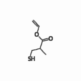 C=COC(=O)C(C)CS